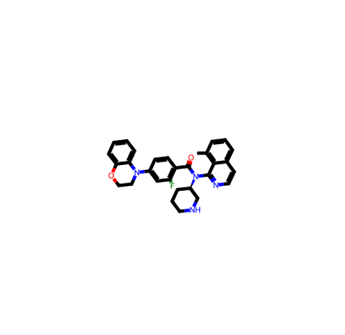 Cc1cccc2ccnc(N(C(=O)c3ccc(N4CCOc5ccccc54)cc3F)[C@@H]3CCCNC3)c12